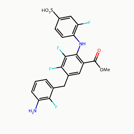 COC(=O)c1cc(Cc2cccc(N)c2F)c(F)c(F)c1Nc1ccc(S(=O)(=O)O)cc1F